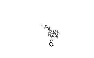 C=CCNC(=O)[C@@H](NC(=O)OCc1ccccc1)[C@@H](C)O